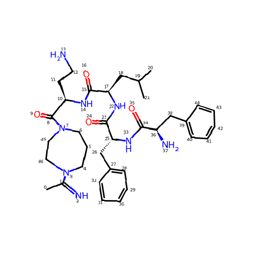 CC(=N)N1CCCN(C(=O)[C@@H](CCN)NC(=O)[C@@H](CC(C)C)NC(=O)[C@@H](Cc2ccccc2)NC(=O)[C@H](N)Cc2ccccc2)CC1